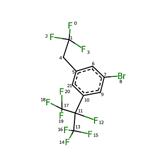 FC(F)(F)Cc1[c]c(Br)cc(C(F)(C(F)(F)F)C(F)(F)F)c1